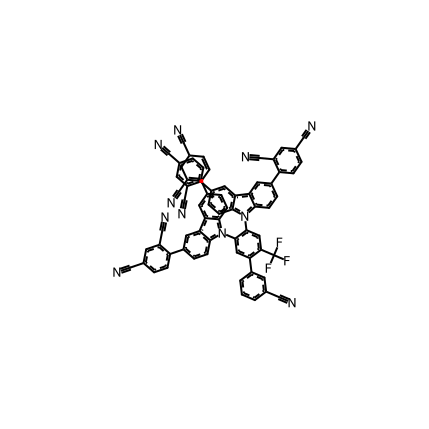 N#CC1=C(c2ccc3c(c2)c2cc(-c4ccc(C#N)cc4C#N)ccc2n3-c2cc(-c3cccc(C#N)c3)c(C(F)(F)F)cc2-n2c3ccc(-c4ccc(C#N)cc4C#N)cc3c3cc(-c4ccc(C#N)cc4C#N)ccc32)C=CC(C#N)C1